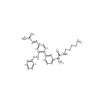 CCCCCNC(=O)N(C)c1cccc(-c2ccc(/C=C/C(=O)O)cc2OCc2ccccc2)c1